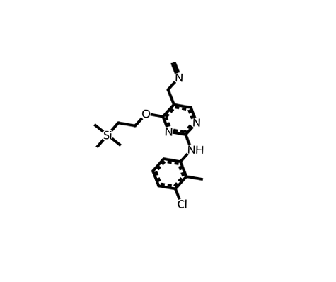 C=NCc1cnc(Nc2cccc(Cl)c2C)nc1OCC[Si](C)(C)C